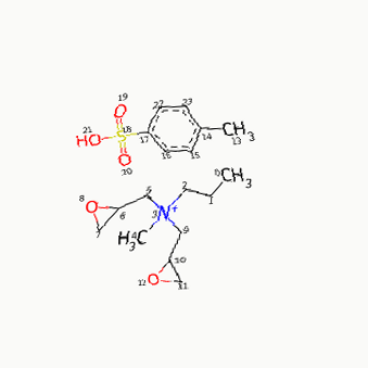 CCC[N+](C)(CC1CO1)CC1CO1.Cc1ccc(S(=O)(=O)O)cc1